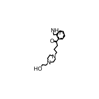 NCc1ccccc1C(=O)CCCN1CCN(CCO)CC1